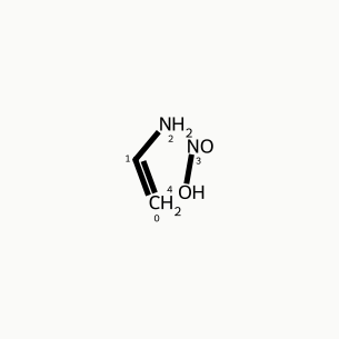 C=CN.O=NO